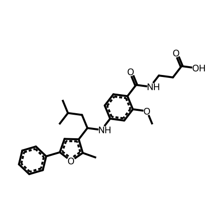 COc1cc(NC(CC(C)C)c2cc(-c3ccccc3)oc2C)ccc1C(=O)NCCC(=O)O